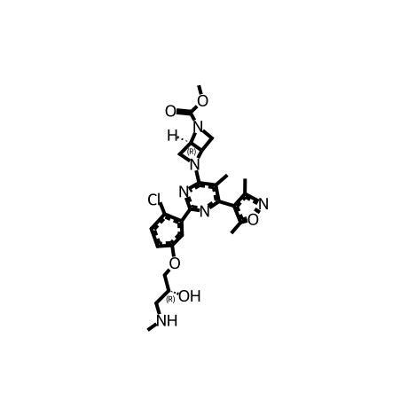 CNC[C@@H](O)COc1ccc(Cl)c(-c2nc(-c3c(C)noc3C)c(C)c(N3C[C@@H]4C3CN4C(=O)OC)n2)c1